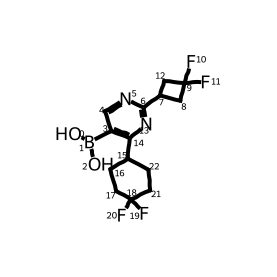 OB(O)c1cnc(C2CC(F)(F)C2)nc1C1CCC(F)(F)CC1